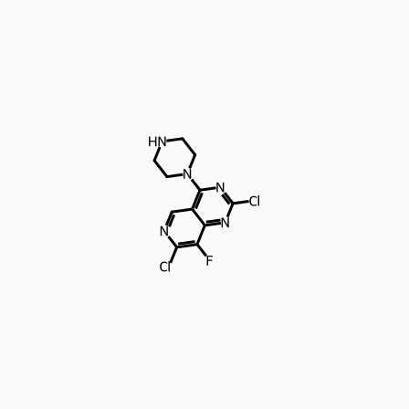 Fc1c(Cl)ncc2c(N3CCNCC3)nc(Cl)nc12